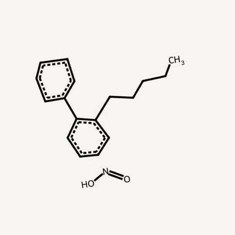 CCCCCc1ccccc1-c1ccccc1.O=NO